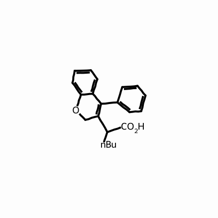 CCCCC(C(=O)O)C1=C(c2ccccc2)c2ccccc2OC1